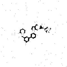 CCC[C@@H]1CCCCN1C(=O)c1cc(F)cc(-c2cccc(-n3ccc(C(=O)OC)c3C[C@@H]3C[C@H]3c3cn(C)nn3)c2)c1